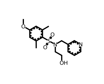 COc1cc(C)c(S(=O)(=O)N(CCO)Cc2cccnc2)c(C)c1